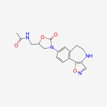 CC(=O)NCC1CN(c2ccc3c(c2)CCNc2cnoc2-3)C(=O)O1